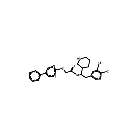 O=C(CSc1ncc(-c2ccccc2)cn1)NC(Cc1ccc(Cl)c(Cl)c1)C1CCCNC1